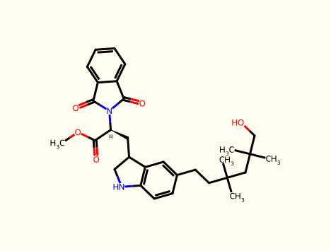 COC(=O)[C@H](CC1CNc2ccc(CCC(C)(C)CC(C)(C)CO)cc21)N1C(=O)c2ccccc2C1=O